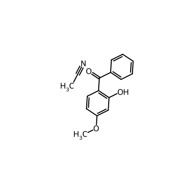 CC#N.COc1ccc(C(=O)c2ccccc2)c(O)c1